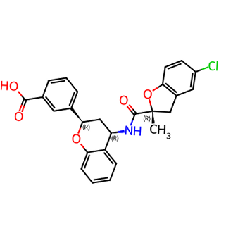 C[C@]1(C(=O)N[C@@H]2C[C@H](c3cccc(C(=O)O)c3)Oc3ccccc32)Cc2cc(Cl)ccc2O1